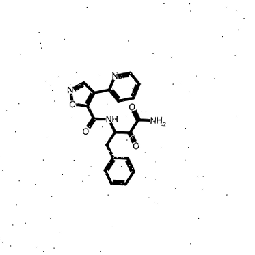 NC(=O)C(=O)C(Cc1ccccc1)NC(=O)c1oncc1-c1ccccn1